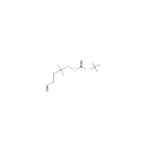 C=CCCC(C)(C)CNC(=O)OC(C)(C)C